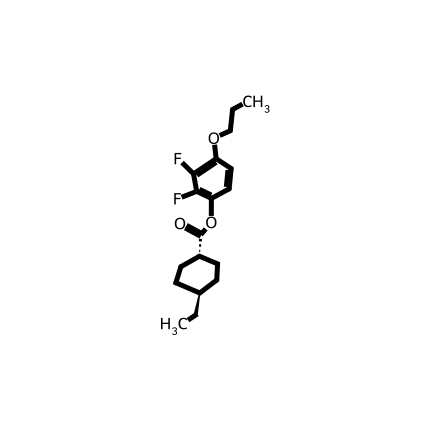 CCCOc1ccc(OC(=O)[C@H]2CC[C@H](CC)CC2)c(F)c1F